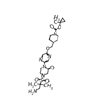 CC1(OC(=O)N2CCC(COc3cnc(N4CCN(S(=O)(=O)C(C)(C)CN)CC4=O)cn3)CC2)CC1